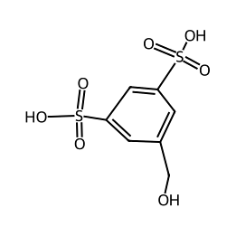 O=S(=O)(O)c1cc(CO)cc(S(=O)(=O)O)c1